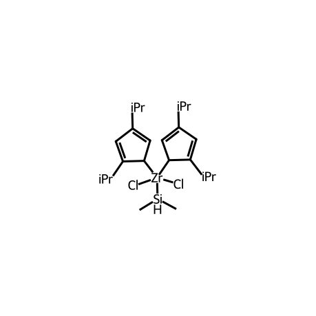 CC(C)C1=C[CH]([Zr]([Cl])([Cl])([CH]2C=C(C(C)C)C=C2C(C)C)[SiH](C)C)C(C(C)C)=C1